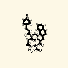 NC(=O)NC(=O)C(Cc1ccc2ccccc2c1)N1CCN(C(=O)[CH]Cc2ccc(F)cc2)C(CC2CC2)C1